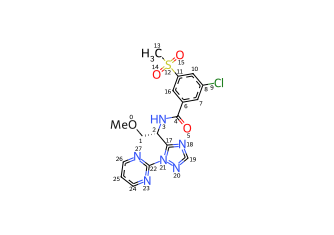 COC[C@H](NC(=O)c1cc(Cl)cc(S(C)(=O)=O)c1)c1ncnn1-c1ncccn1